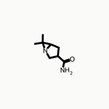 CC1(C)C2CC(C(N)=O)CN21